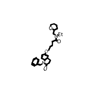 CCN(CC1CCCCO1)C(=O)CCCCOc1ccc2c(c1)CCC(=O)N2Cc1ccccc1